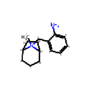 C[N+]1(Cc2ccccc2N)C2C[CH]CC1CC2